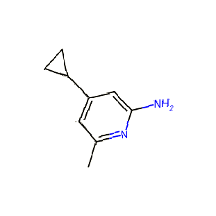 Cc1[c]c(C2CC2)cc(N)n1